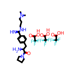 CN(C)CCCNC(=N)c1ccc(CC(N)C(=O)N2CCCC2)cc1.O=C(O)C(F)(F)F.O=C(O)C(F)(F)F.O=C(O)C(F)(F)F